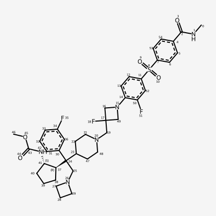 CNC(=O)c1ccc(S(=O)(=O)c2ccc(N3CC(F)(CN4CCC(C(CN5CCC5)(c5cccc(F)c5)[C@H]5CCC[C@@H]5NC(=O)OC)CC4)C3)c(F)c2)cc1